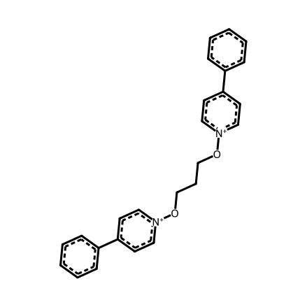 c1ccc(-c2cc[n+](OCCCO[n+]3ccc(-c4ccccc4)cc3)cc2)cc1